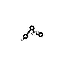 O=C(NCc1ccccc1)c1ccccc1C#Cc1ccc(Cl)cc1